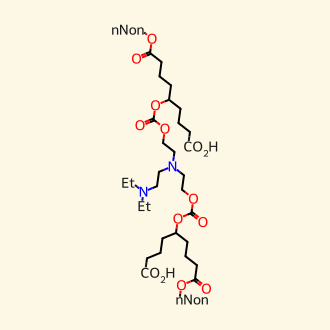 CCCCCCCCCOC(=O)CCCC(CCCC(=O)O)OC(=O)OCCN(CCOC(=O)OC(CCCC(=O)O)CCCC(=O)OCCCCCCCCC)CCN(CC)CC